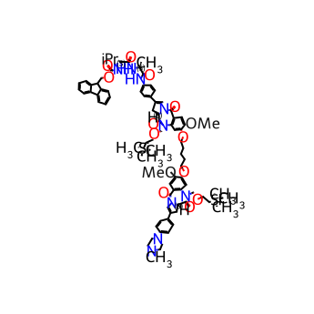 COc1cc2c(cc1OCCCCCOc1cc3c(cc1OC)C(=O)N1C=C(c4ccc(N5CCN(C)CC5)cc4)C[C@H]1C(=O)N3COCC[Si](C)(C)C)N(COCC[Si](C)(C)C)C(=O)[C@@H]1CC(c3ccc(NC(=O)[C@H](C)NC(=O)[C@@H](NC(=O)OCC4c5ccccc5-c5ccccc54)C(C)C)cc3)=CN1C2=O